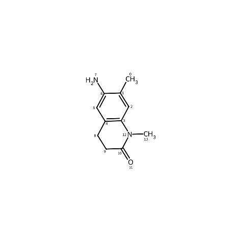 Cc1cc2c(cc1N)CCC(=O)N2C